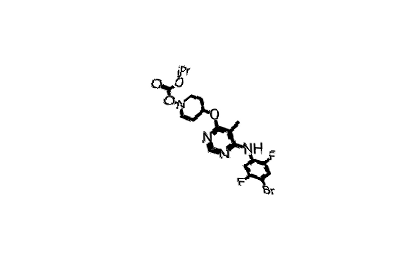 Cc1c(Nc2cc(F)c(Br)cc2F)ncnc1OC1CCN(OC(=O)OC(C)C)CC1